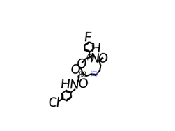 O=C(C[C@@H]1C/C=C/CCC(=O)N[C@H](c2ccc(F)cc2)COC1=O)NCc1ccc(Cl)cc1